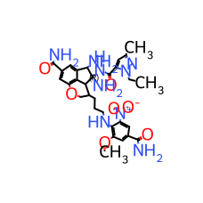 CCn1nc(C)cc1C(=O)N[C@@]1(N)C(N)c2cc(C(N)=O)cc3c2C1C(CCCNc1c(OC)cc(C(N)=O)cc1[N+](=O)[O-])CO3